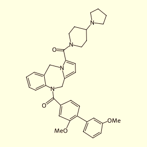 COc1cccc(-c2ccc(C(=O)N3Cc4ccc(C(=O)N5CCC(N6CCCC6)CC5)n4Cc4ccccc43)cc2OC)c1